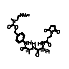 CNCCN(C)C(=O)OCc1ccc(NC(=O)[C@H](C)NC(=O)[C@@H](NC(=O)CCN2C(=O)C=CC2=O)C(C)C)cc1